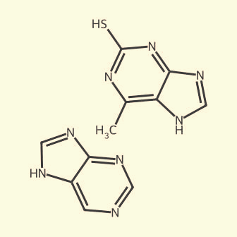 Cc1nc(S)nc2nc[nH]c12.c1ncc2[nH]cnc2n1